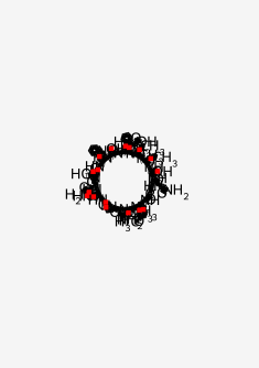 CCCC[C@H]1C(=O)N(C)[C@@H](CCCC)C(=O)N[C@@H](CO)C(=O)N[C@H](C(=O)NCC(N)=O)CSCC(=O)N[C@@H](Cc2ccc(OC)cc2)C(=O)N(C)[C@@H](C)C(=O)N[C@@H](CC(N)=O)C(=O)N2CCC[C@H]2C(=O)N[C@@H](Cc2c[nH]cn2)C(=O)N[C@@H](CCC(N)=O)C(=O)N2C[C@H](O)C[C@H]2C(=O)N[C@@H](Cc2c[nH]c3ccccc23)C(=O)N[C@@H](CO)C(=O)N[C@@H](Cc2cn(CC(=O)O)c3ccccc23)C(=O)N1C